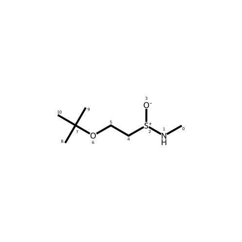 CN[S+]([O-])CCOC(C)(C)C